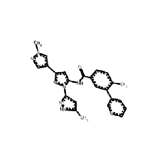 Cc1cc(-n2nc(-c3cnn(C)c3)cc2NC(=O)c2ccc(C(F)(F)F)c(-c3cccnc3)c2)n[nH]1